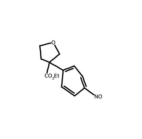 CCOC(=O)C1(c2ccc(N=O)cc2)CCOC1